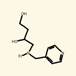 CCN(Cc1ccncc1)CC(O)CCO